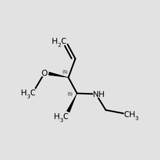 C=C[C@H](OC)[C@H](C)NCC